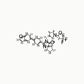 O=C(CC(F)(F)F)N1CC[C@@H](CN2C(=O)C3(CCCC3)N=C2c2ccc(-c3ccc4occc4c3)cc2)C1